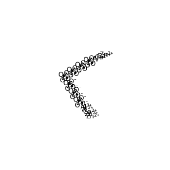 O=P([O-])([O-])[O-].O=P([O-])([O-])[O-].O=P([O-])([O-])[O-].O=P([O-])([O-])[O-].O=P([O-])([O-])[O-].O=P([O-])([O-])[O-].O=P([O-])([O-])[O-].[Al+3].[Al+3].[Al+3].[Ca+2].[Ca+2].[Ca+2].[Zn+2].[Zn+2].[Zn+2]